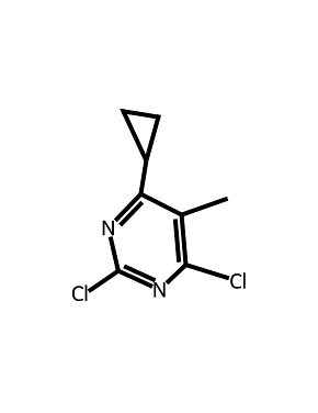 Cc1c(Cl)nc(Cl)nc1C1CC1